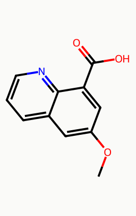 COc1cc(C(=O)O)c2ncccc2c1